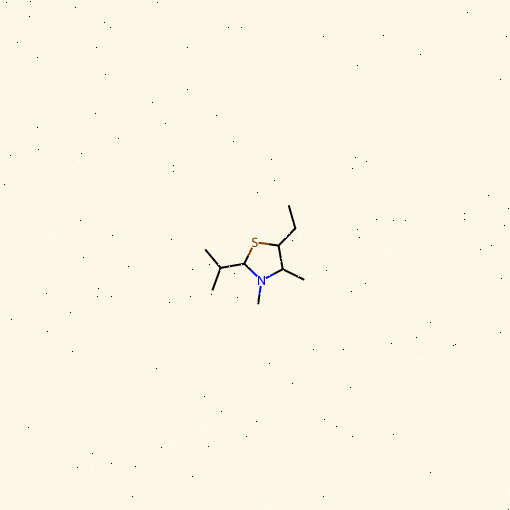 CCC1SC(C(C)C)N(C)C1C